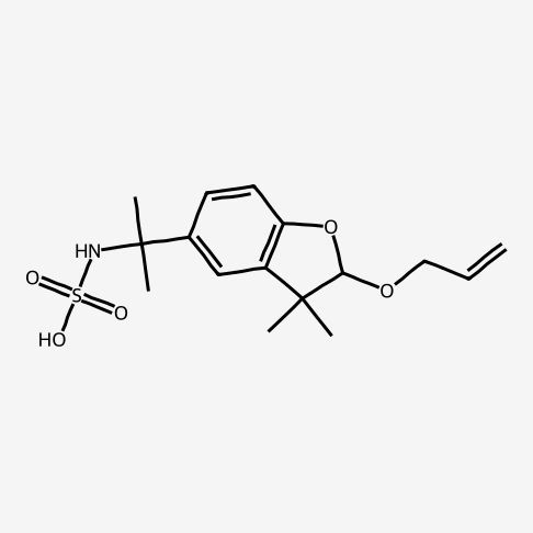 C=CCOC1Oc2ccc(C(C)(C)NS(=O)(=O)O)cc2C1(C)C